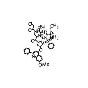 C=C[C@@H]1C[C@]1(N)C(=O)N(C(=O)[C@@H]1CC(Oc2cc(-c3ccccc3)nc3cc(OC)ccc23)CN1C(=O)C(CNC(=O)CCl)NC(=O)OC(C)(C)C)S(=O)(=O)c1ccccc1